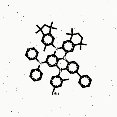 Cc1cc(C(C)(C)C)ccc1N1c2cc(-c3ccccc3)ccc2B2c3cc4c(cc3N(c3cc5c(cc3C)C(C)(C)CC5(C)C)c3cc(N(c5ccccc5)c5ccccc5)cc1c32)C(C)(C)CCC4(C)C